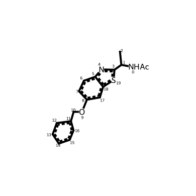 CC(=O)NC(C)c1nc2ccc(OCc3ccccc3)cc2s1